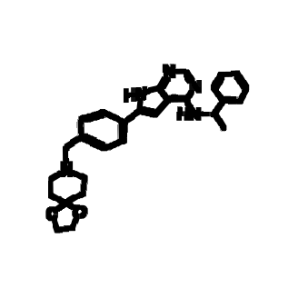 CC(Nc1ncnc2[nH]c(-c3ccc(CN4CCC5(CC4)OCCO5)cc3)cc12)c1ccccc1